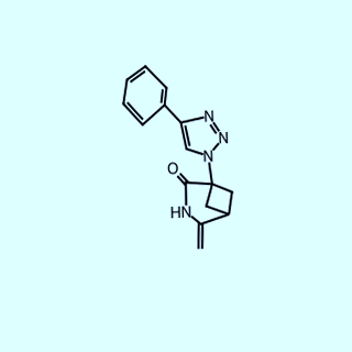 C=C1NC(=O)C2(n3cc(-c4ccccc4)nn3)CC1C2